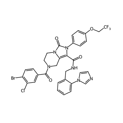 O=C(NCc1ccccc1-n1ccnc1)c1c2n(c(=O)n1-c1ccc(OCC(F)(F)F)cc1)CCN(C(=O)c1ccc(Br)c(Cl)c1)C2